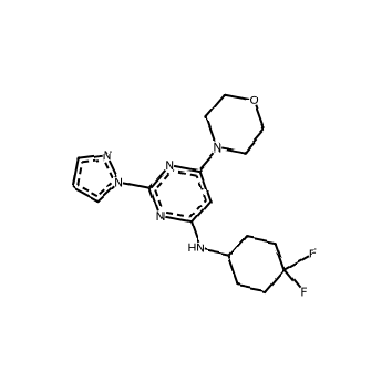 FC1(F)CCC(Nc2cc(N3CCOCC3)nc(-n3cccn3)n2)CC1